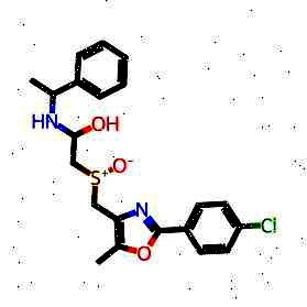 Cc1oc(-c2ccc(Cl)cc2)nc1C[S+]([O-])CC(O)NC(C)c1ccccc1